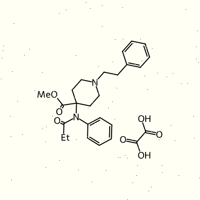 CCC(=O)N(c1ccccc1)C1(C(=O)OC)CCN(CCc2ccccc2)CC1.O=C(O)C(=O)O